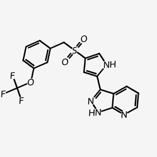 O=S(=O)(Cc1cccc(OC(F)(F)F)c1)c1c[nH]c(-c2n[nH]c3ncccc23)c1